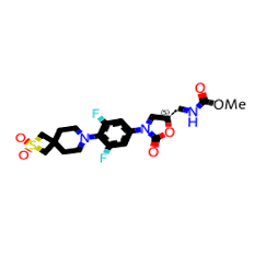 COC(=O)NC[C@H]1CN(c2cc(F)c(N3CCC4(CC3)CS(=O)(=O)C4)c(F)c2)C(=O)O1